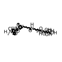 CO[C@H]1CN(CCCCCC(=O)NCCCCCC(=O)NC[C@H](O)[C@@H](O)[C@H](O)[C@H](O)CO)CC[C@H]1NC(=O)c1cc(Cl)c(N)c2c1OCC2